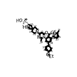 CCOc1ccc(-c2ccc(C(Oc3cc(N4CCC5(CC4)CN[C@H](C(=O)O)C5)nc(C)n3)C(F)(F)F)c(-n3ccc(C)n3)c2)cc1